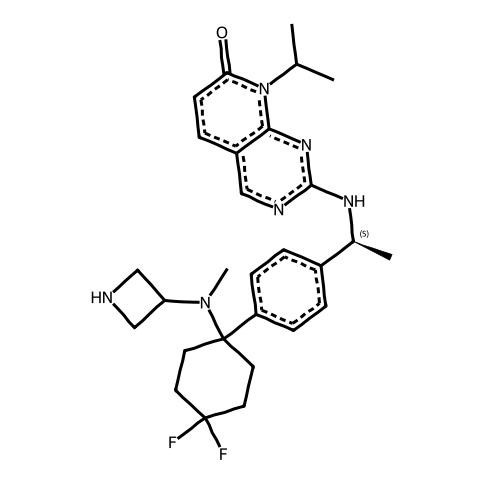 CC(C)n1c(=O)ccc2cnc(N[C@@H](C)c3ccc(C4(N(C)C5CNC5)CCC(F)(F)CC4)cc3)nc21